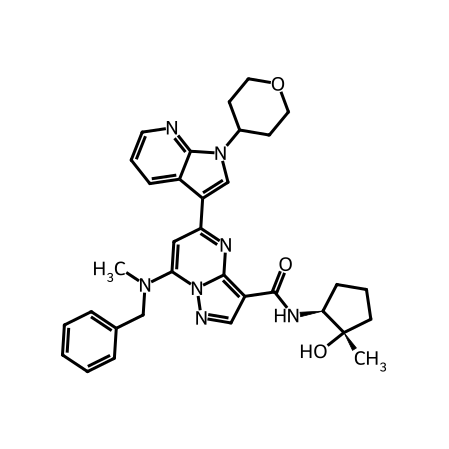 CN(Cc1ccccc1)c1cc(-c2cn(C3CCOCC3)c3ncccc23)nc2c(C(=O)N[C@H]3CCC[C@]3(C)O)cnn12